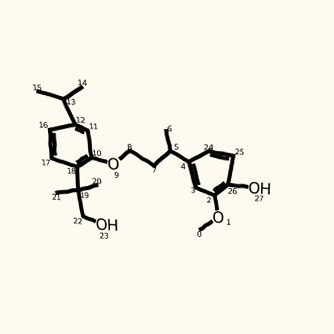 COc1cc(C(C)CCOc2cc(C(C)C)ccc2C(C)(C)CO)ccc1O